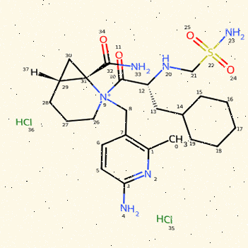 Cc1nc(N)ccc1C[N+]1(C(=O)[C@@H](CC2CCCCC2)NCS(N)(=O)=O)CCC[C@@H]2C[C@@]21C(N)=O.Cl.Cl